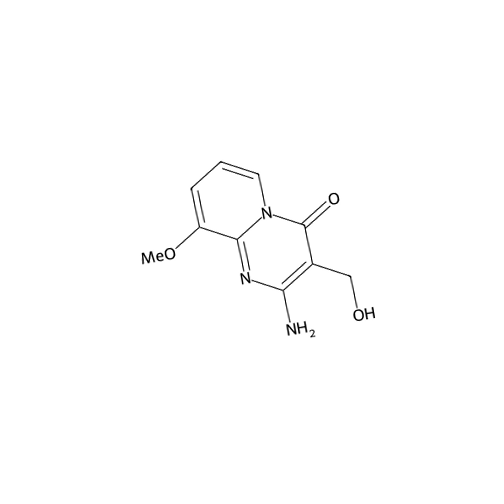 COc1cccn2c(=O)c(CO)c(N)nc12